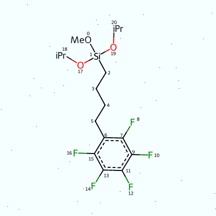 CO[Si](CCCCc1c(F)c(F)c(F)c(F)c1F)(OC(C)C)OC(C)C